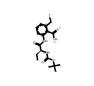 CC[C@H](NC(=O)OC(C)(C)C)C(=O)Nc1cccc(CI)c1C(=O)O